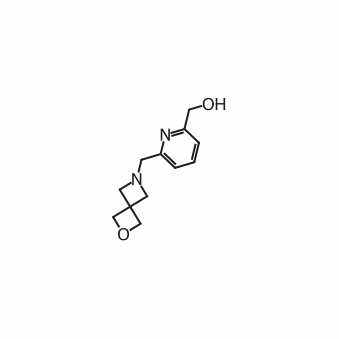 OCc1cccc(CN2CC3(COC3)C2)n1